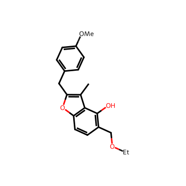 CCOCc1ccc2oc(Cc3ccc(OC)cc3)c(C)c2c1O